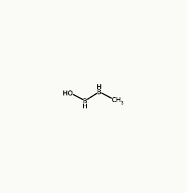 CBBO